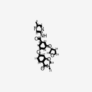 Cc1cnc(NC(=O)c2cc(Oc3ccc4c(c3)OCN(C)C4=O)cc(O[C@H]3CCOC3)c2)cn1